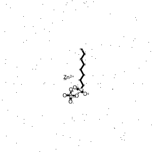 CCCCCCCCS(=O)(=O)OP(=O)([O-])[O-].[Zn+2]